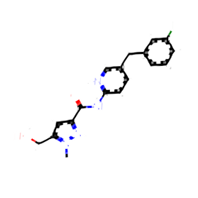 Cn1nc(C(=O)Nc2ccc(Cc3cccc(F)c3)cn2)cc1CO